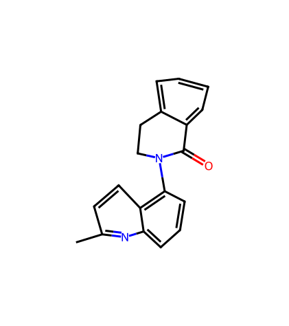 Cc1ccc2c(N3CCc4ccccc4C3=O)cccc2n1